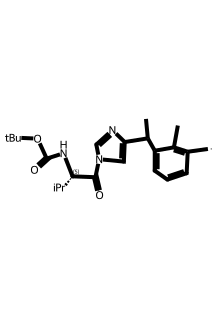 [CH2]c1cccc(C(C)c2cn(C(=O)[C@@H](NC(=O)OC(C)(C)C)C(C)C)cn2)c1C